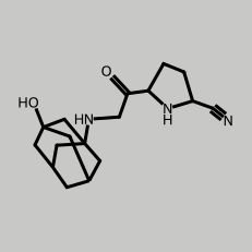 N#CC1CCC(C(=O)CNC23CC4CC(CC(O)(C4)C2)C3)N1